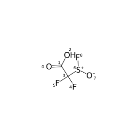 O=C(O)C(F)(F)[S+]([O-])F